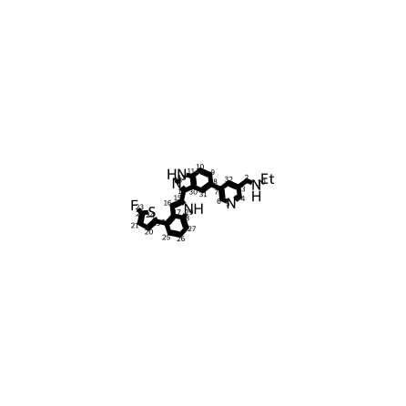 CCNCc1cncc(-c2ccc3[nH]nc(-c4cc5c(-c6ccc(F)s6)cccc5[nH]4)c3c2)c1